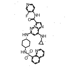 O=C(Nc1ccncc1F)c1cnc2c(NC3CC3)cc(N[C@H]3CC[C@H](NS(=O)(=O)c4cccc5cccnc45)CC3)nn12